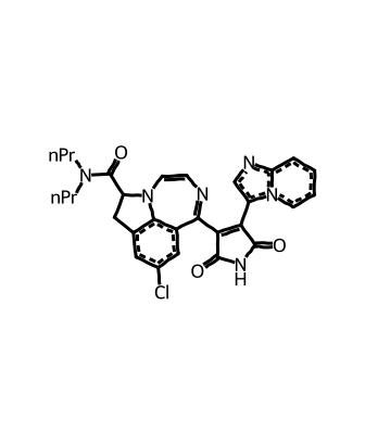 CCCN(CCC)C(=O)C1Cc2cc(Cl)cc3c2N1C=CN=C3C1=C(c2cnc3ccccn23)C(=O)NC1=O